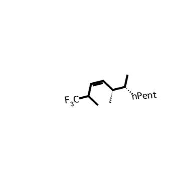 CCCCC[C@@H](C)[C@H](C)/C=C\C(C)C(F)(F)F